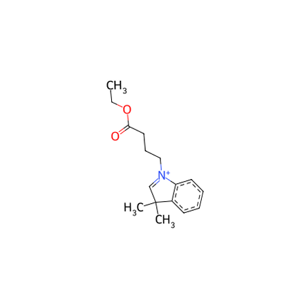 CCOC(=O)CCC[N+]1=CC(C)(C)c2ccccc21